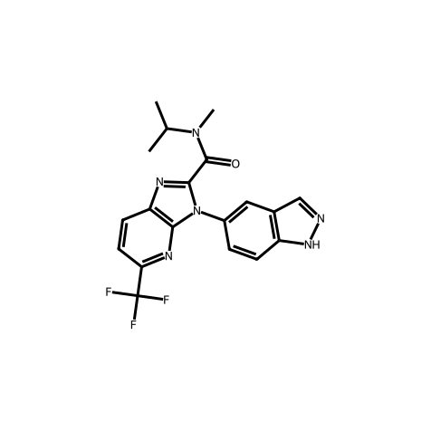 CC(C)N(C)C(=O)c1nc2ccc(C(F)(F)F)nc2n1-c1ccc2[nH]ncc2c1